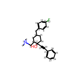 CN(C)CC1CC(Cc2ccc(F)cc2)CCC1(O)C#Cc1ccccc1